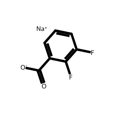 O=C([O-])c1cccc(F)c1F.[Na+]